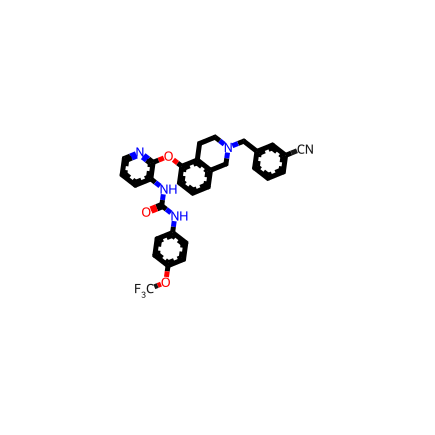 N#Cc1cccc(CN2CCc3c(cccc3Oc3ncccc3NC(=O)Nc3ccc(OC(F)(F)F)cc3)C2)c1